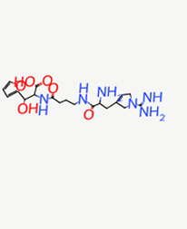 N=C(N)N1CC=C(CC(N)C(=O)NCCCC(=O)NC(C(=O)O)C(O)c2ccco2)C1